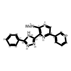 CNc1ncc(-c2cccnc2)nc1-c1nnc(-c2ccccc2)[nH]1